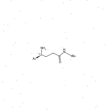 CC(=O)[C@@H](N)CCC(=O)NC(C)(C)C